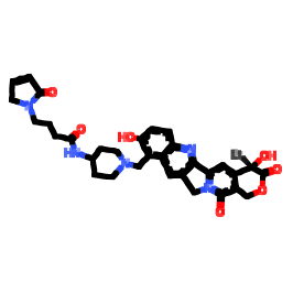 CC[C@@]1(O)C(=O)OCc2c1cc1n(c2=O)Cc2cc3c(CN4CCC(NC(=O)CCCN5CC=CC5=O)CC4)c(O)ccc3nc2-1